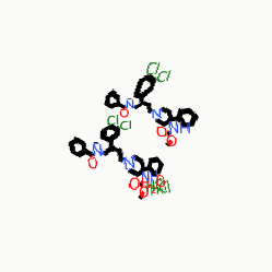 COC(=O)NC1(c2ccccc2)CCN(CCC(CN(C)C(=O)c2ccccc2)c2ccc(Cl)c(Cl)c2)CC1.COC(=O)NC1(c2ccccc2)CCN(CCC(CN(C)C(=O)c2ccccc2)c2ccc(Cl)c(Cl)c2)CC1.Cl.Cl.O